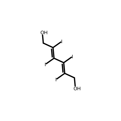 OCC(I)=C(I)C(I)=C(I)CO